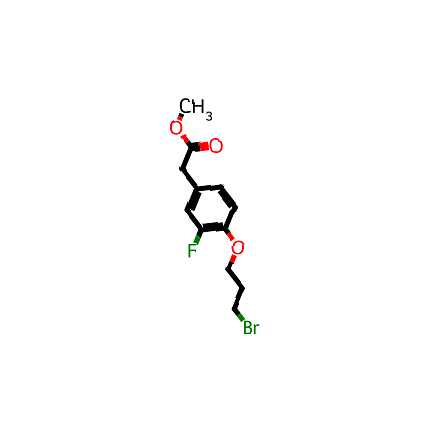 COC(=O)Cc1ccc(OCCCBr)c(F)c1